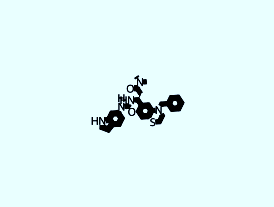 CN(C)C(=O)C[C@@H](NC(=O)Nc1ccc2cc[nH]c2c1)c1ccc2c(c1)N(Cc1ccccc1)CCS2